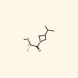 CO[C@@H](C)C(=O)N1CC(C(C)C)C1